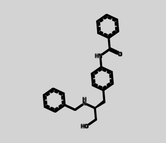 O=C(Nc1ccc(C[C@@H](CO)NCc2ccccc2)cc1)c1ccccc1